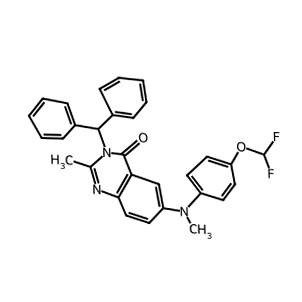 Cc1nc2ccc(N(C)c3ccc(OC(F)F)cc3)cc2c(=O)n1C(c1ccccc1)c1ccccc1